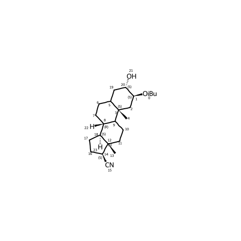 CC(C)CO[C@H]1C[C@@]2(C)C(CC[C@@H]3C2CC[C@]2(C)[C@@H](C#N)CC[C@@H]32)C[C@@H]1O